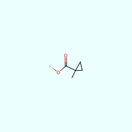 CC1(C(=O)OF)CC1